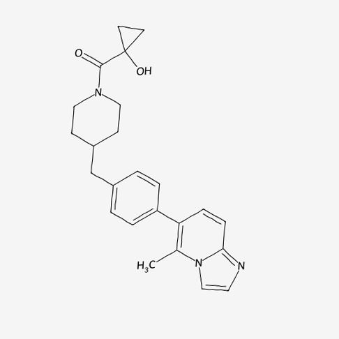 Cc1c(-c2ccc(CC3CCN(C(=O)C4(O)CC4)CC3)cc2)ccc2nccn12